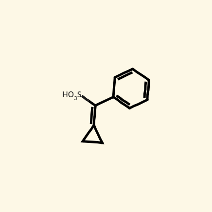 O=S(=O)(O)C(=C1CC1)c1ccccc1